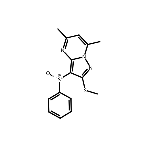 CSc1nn2c(C)cc(C)nc2c1[S@@+]([O-])c1ccccc1